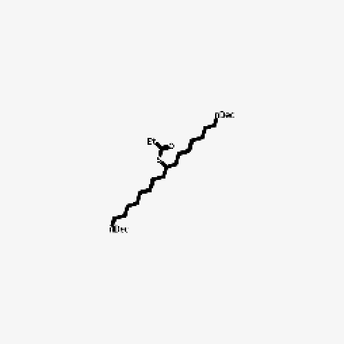 CCCCCCCCCCCCCCCCCCC(CCCCCCCCCCCCCCCCC)SC(=O)CC